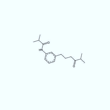 CC(C)C(=O)CCCc1cccc(NC(=O)C(C)C)c1